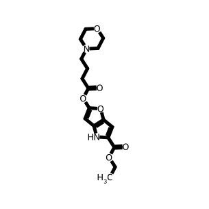 CCOC(=O)c1cc2oc(OC(=O)CCCN3CCOCC3)cc2[nH]1